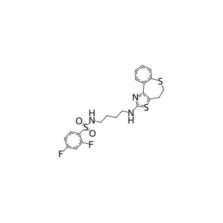 O=S(=O)(NCCCCNc1nc2c(s1)CCSc1ccccc1-2)c1ccc(F)cc1F